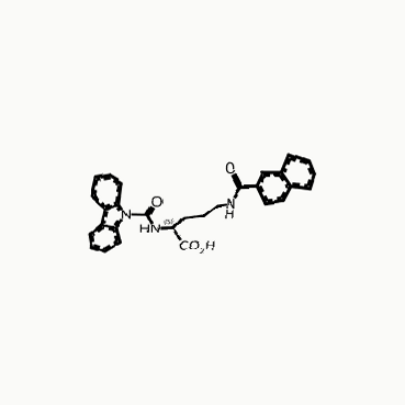 O=C(NCCC[C@H](NC(=O)n1c2ccccc2c2ccccc21)C(=O)O)c1ccc2ccccc2c1